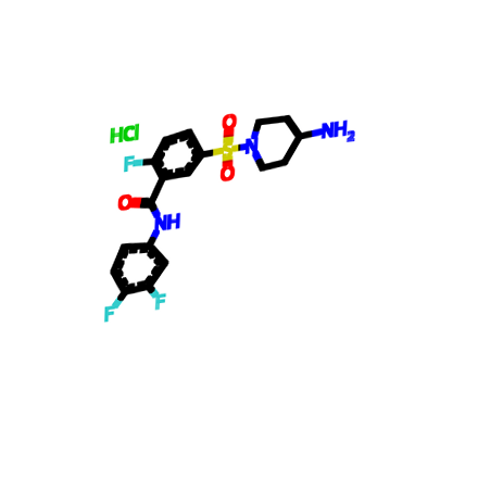 Cl.NC1CCN(S(=O)(=O)c2ccc(F)c(C(=O)Nc3ccc(F)c(F)c3)c2)CC1